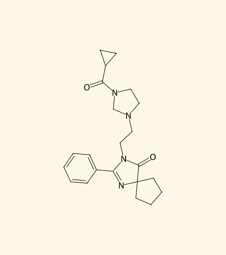 O=C(C1CC1)N1CCN(CCN2C(=O)C3(CCCC3)N=C2c2ccccc2)C1